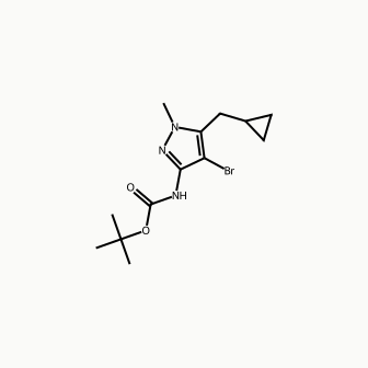 Cn1nc(NC(=O)OC(C)(C)C)c(Br)c1CC1CC1